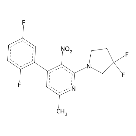 Cc1cc(-c2cc(F)ccc2F)c([N+](=O)[O-])c(N2CCC(F)(F)C2)n1